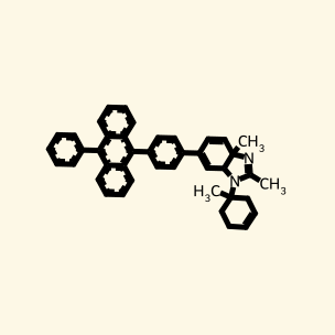 CC1=NC2(C)C=CC(c3ccc(-c4c5ccccc5c(-c5ccccc5)c5ccccc45)cc3)=CC2N1C1(C)CC=CCC1